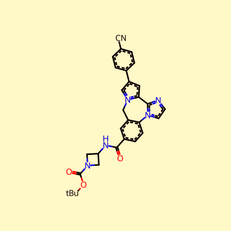 CC(C)(C)OC(=O)N1CC(NC(=O)c2ccc3c(c2)Cn2cc(-c4ccc(C#N)cc4)cc2-c2nccn2-3)C1